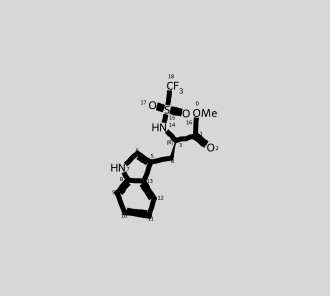 COC(=O)[C@@H](Cc1c[nH]c2ccccc12)NS(=O)(=O)C(F)(F)F